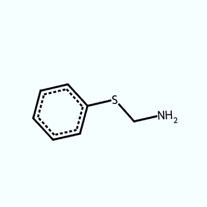 NCSc1ccccc1